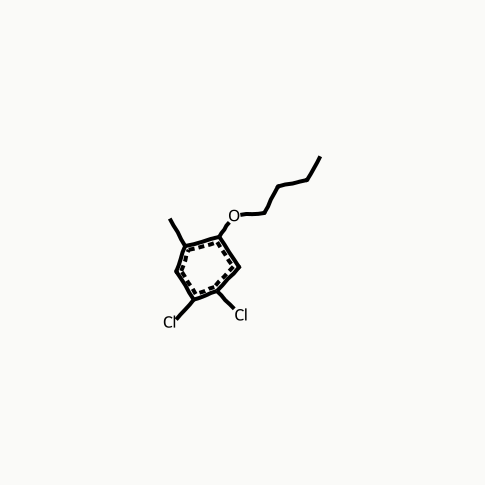 CCCCOc1cc(Cl)c(Cl)cc1C